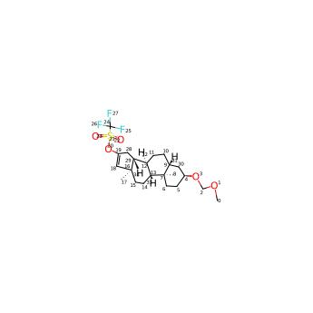 COCO[C@H]1CC[C@]2(C)[C@H](CC[C@H]3[C@H]2CC[C@@]2(C)C=C(OS(=O)(=O)C(F)(F)F)C[C@H]32)C1